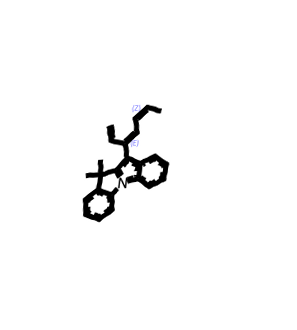 C=C/C(=C\C=C/C)c1c2n(c3ccccc13)-c1ccccc1C2(C)C